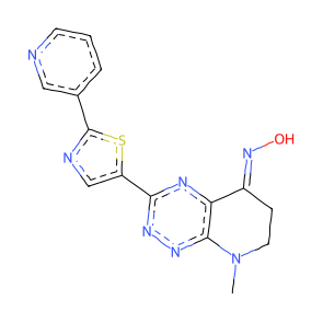 CN1CC/C(=N\O)c2nc(-c3cnc(-c4cccnc4)s3)nnc21